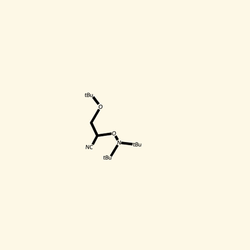 CC(C)(C)OCC(C#N)ON(C(C)(C)C)C(C)(C)C